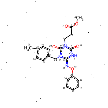 COC(=O)CCn1c(=O)[nH]/c(=N\Oc2ccccc2)n(Cc2ccc(C)cc2)c1=O